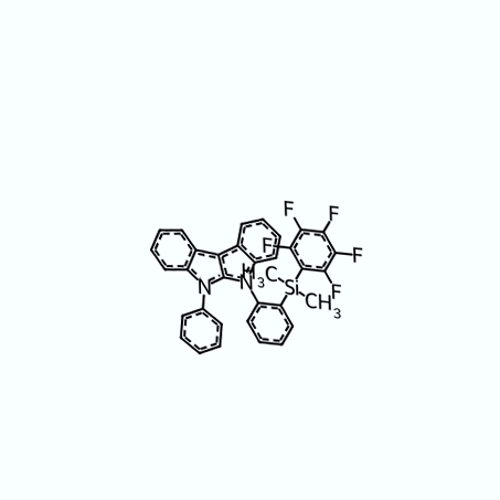 C[Si](C)(c1ccccc1-n1c2ccccc2c2c3ccccc3n(-c3ccccc3)c21)c1c(F)c(F)c(F)c(F)c1F